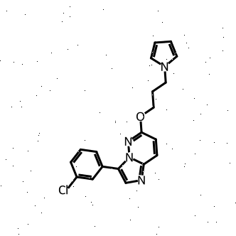 Clc1cccc(-c2cnc3ccc(OCCCn4cccc4)nn23)c1